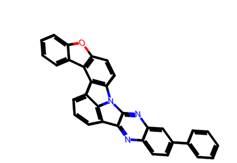 c1ccc(-c2ccc3nc4c5cccc6c7c8c(ccc7n(c4nc3c2)c56)oc2ccccc28)cc1